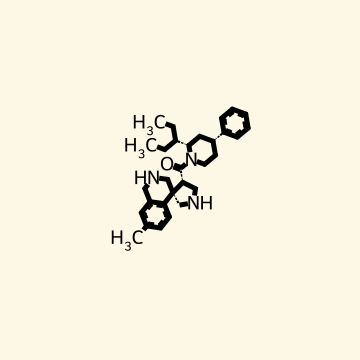 CCC(CC)[C@@H]1C[C@H](c2ccccc2)CCN1C(=O)[C@@H]1CNC[C@]12CNCc1cc(C)ccc12